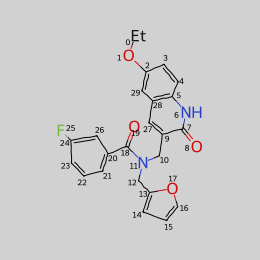 CCOc1ccc2[nH]c(=O)c(CN(Cc3ccco3)C(=O)c3cccc(F)c3)cc2c1